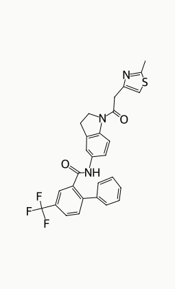 Cc1nc(CC(=O)N2CCc3cc(NC(=O)c4cc(C(F)(F)F)ccc4-c4ccccc4)ccc32)cs1